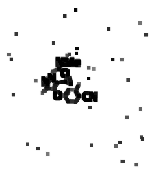 CNC(=O)Cn1nc(C)c(Oc2ccc(C#N)c(C)c2)c1C1CC1